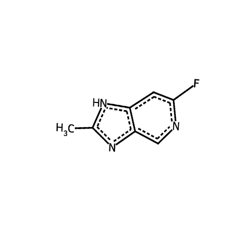 Cc1nc2cnc(F)cc2[nH]1